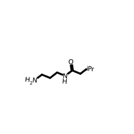 CC(C)CC(=O)NCCCN